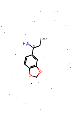 COC[C@H](N)c1ccc2c(c1)OCO2